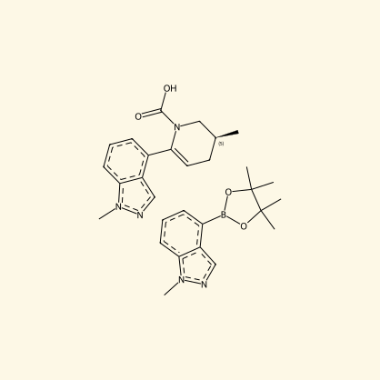 C[C@H]1CC=C(c2cccc3c2cnn3C)N(C(=O)O)C1.Cn1ncc2c(B3OC(C)(C)C(C)(C)O3)cccc21